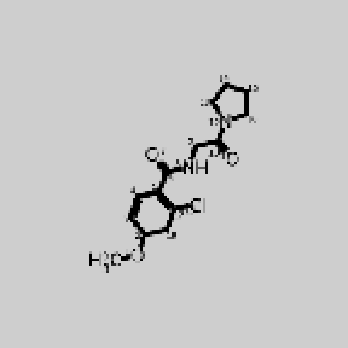 COC1C=CC(C(=O)NCC(=O)N2CCCC2)=C(Cl)C1